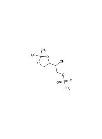 CC1(C)OCC(C(O)COS(C)(=O)=O)O1